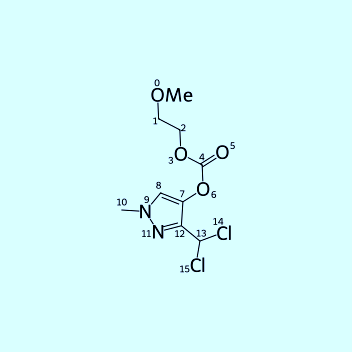 COCCOC(=O)Oc1cn(C)nc1C(Cl)Cl